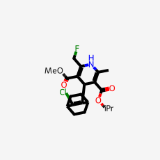 COC(=O)C1=C(CF)NC(C)=C(C(=O)OC(C)C)C1C1=C(Cl)C2CCC1CC2